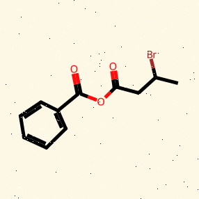 CC(Br)CC(=O)OC(=O)c1ccccc1